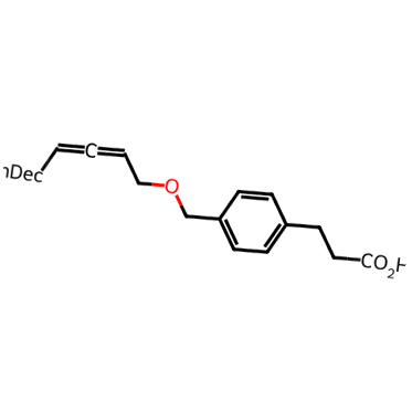 CCCCCCCCCCC=C=CCOCc1ccc(CCC(=O)O)cc1